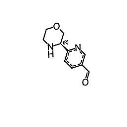 O=Cc1ccc([C@@H]2COCCN2)nc1